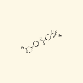 CC(C)C1CN(c2ccc(NC(=O)C3CCC(NS(=O)(=O)C(C)(C)C)CC3)cc2)CCO1